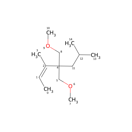 CC=C(C)C(COC)(COC)CC(C)C